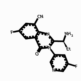 CC[C@H](N)c1nc2c(C#N)cc(F)cc2c(=O)n1-c1cncc(F)c1